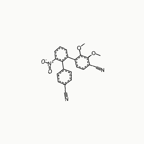 COc1c(C#N)ccc(-c2cccc([N+](=O)[O-])c2-c2ccc(C#N)cc2)c1OC